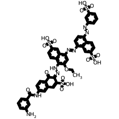 CCOc1cc(/N=N/c2ccc(/N=N/c3cccc(S(=O)(=O)O)c3)c3ccc(S(=O)(=O)O)cc23)c2cc(S(=O)(=O)O)ccc2c1N/N=C1\C(=O)c2ccc(NC(=O)c3cccc(N)c3)cc2C=C1S(=O)(=O)O